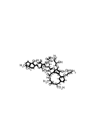 Cc1nc(-c2ccc3c(c2O)CCC3(C)C)nc(N)c1C(=O)N[C@@H](CNS(N)(=O)=O)C(=O)N(C)[C@@H]1C(=O)N[C@@H](C)C(=O)N[C@H](C(=O)O)Cc2ccc(OC[C@H](O)CN)c(c2)-c2cc1cc(OC[C@H](O)CN)c2O